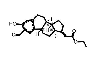 CCOC(=O)C=C1CC[C@H]2[C@@H]3CCc4cc(O)c(C=O)cc4[C@H]3CC[C@]12C